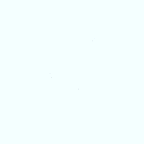 ClCCC1SCCCS1